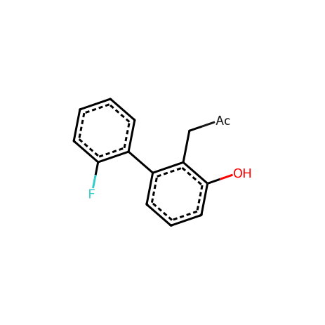 CC(=O)Cc1c(O)cccc1-c1ccccc1F